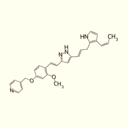 C/C=C\c1cc[nH]c1C/C=C/c1cc(/C=C/c2ccc(OCc3ccncc3)cc2OC)n[nH]1